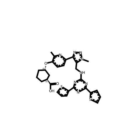 Cc1nc(-c2nnn(C)c2CNc2nc(-c3cccs3)nc(-c3cccs3)n2)ccc1O[C@H]1CCC[C@H](C(=O)O)C1